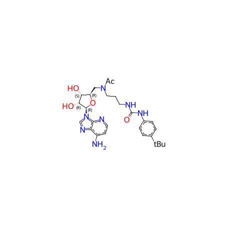 CC(=O)N(CCCNC(=O)Nc1ccc(C(C)(C)C)cc1)C[C@H]1O[C@@H](n2cnc3c(N)ccnc32)[C@H](O)[C@@H]1O